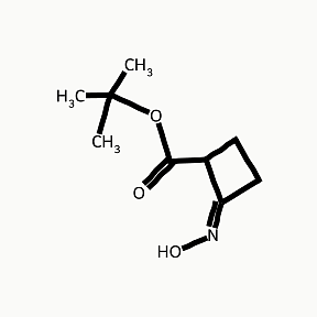 CC(C)(C)OC(=O)C1CCC1=NO